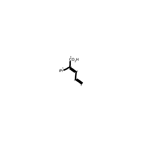 C=CC=C(C(=O)O)C(C)C